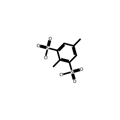 Cc1cc(S(=O)(=O)Cl)c(C)c(S(=O)(=O)Cl)c1